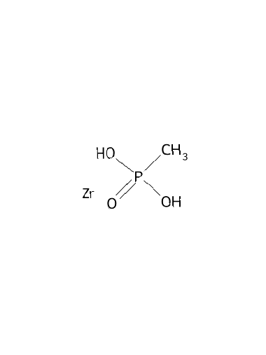 CP(=O)(O)O.[Zr]